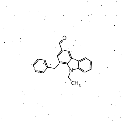 CCn1c2ccccc2c2cc(C=O)cc(Cc3cc[c]cc3)c21